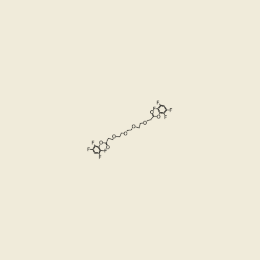 O=C(CCOCCOCCOCCOCCC(=O)Oc1c(F)c(F)cc(F)c1F)Oc1c(F)c(F)cc(F)c1F